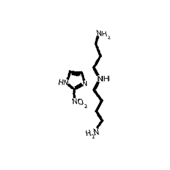 NCCCCNCCCN.O=[N+]([O-])c1ncc[nH]1